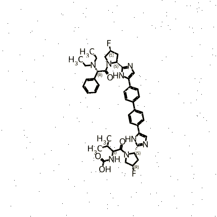 CCN(CC)[C@@H](C(=O)N1C[C@@H](F)C[C@H]1c1ncc(-c2ccc(-c3ccc(-c4cnc([C@@H]5C[C@@H](F)CN5C(=O)[C@@H](NC(=O)O)C(C)C)[nH]4)cc3)cc2)[nH]1)c1ccccc1